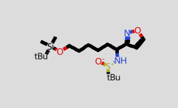 CC(C)(C)[S+]([O-])NC(CCCCCO[Si](C)(C)C(C)(C)C)c1ccon1